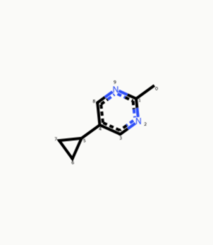 Cc1ncc(C2CC2)cn1